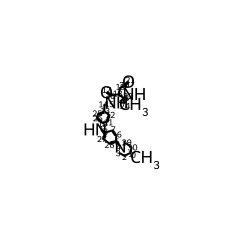 CC1CCN(c2ccc(Nc3ccc(CNC(=O)C4CC(=O)NC4C)cc3)cc2)CC1